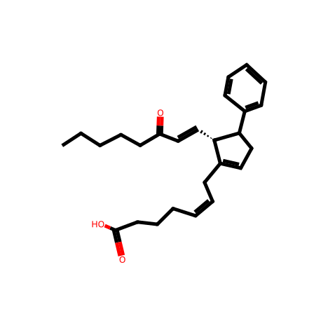 CCCCCC(=O)/C=C/[C@H]1C(C/C=C\CCCC(=O)O)=CCC1c1ccccc1